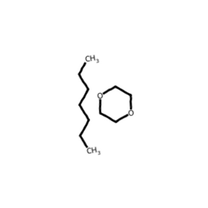 C1COCCO1.CCCCCCC